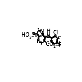 CCOC(=O)c1cnc2c(S(=O)(=O)O)cnn2c1Nc1ccc(F)cc1Cl